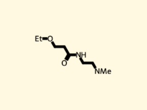 CCOCCC(=O)NCCNC